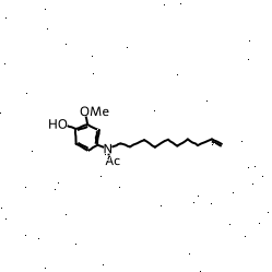 C=CCCCCCCCCN(C(C)=O)c1ccc(O)c(OC)c1